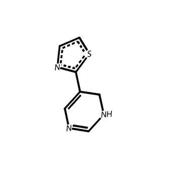 C1=NC=C(c2nccs2)CN1